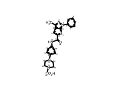 Cc1nn(-c2ccccc2)c2sc(C(=O)Nc3ccc(N4CCN(C(=O)O)CC4)cc3)cc12